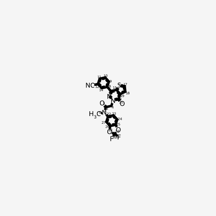 CN(C(=O)Cn1nc(-c2cccc(C#N)c2)c2sccc2c1=O)c1ccc2c(c1)OC(F)(F)O2